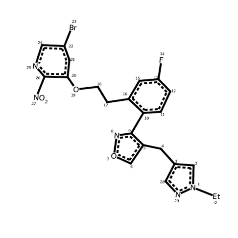 CCn1cc(Cc2conc2-c2ccc(F)cc2CCOc2cc(Br)cnc2[N+](=O)[O-])cn1